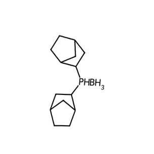 B.C1CC2CC1CC2PC1CC2CCC1C2